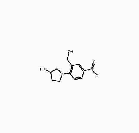 O=[N+]([O-])c1ccc(N2CC[C@@H](O)C2)c(CO)c1